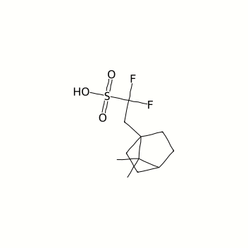 CC1(C)C2CCC1(CC(F)(F)S(=O)(=O)O)CC2